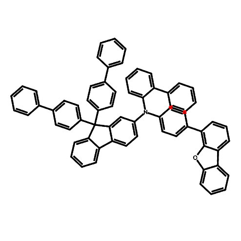 c1ccc(-c2ccc(C3(c4ccc(-c5ccccc5)cc4)c4ccccc4-c4ccc(N(c5ccc(-c6cccc7c6oc6ccccc67)cc5)c5ccccc5-c5ccccc5)cc43)cc2)cc1